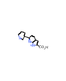 O=C(O)c1cc2ccc(-c3cccnc3)nc2[nH]1